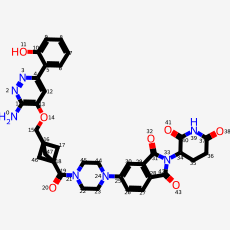 Nc1nnc(-c2ccccc2O)cc1OCC12CC(C(=O)N3CCN(c4ccc5c(c4)C(=O)N(C4CCC(=O)NC4=O)C5=O)CC3)(C1)C2